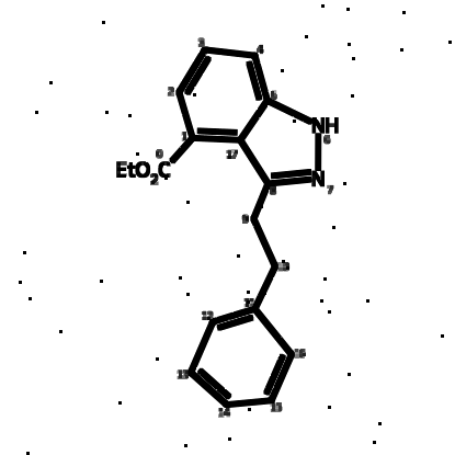 CCOC(=O)c1cccc2[nH]nc(CCc3ccccc3)c12